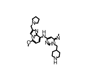 C=N/C(=C\C(=N/C)NCC1CCNCC1)Nc1ccc(OC)n2cc(CN3CCCC3)nc12